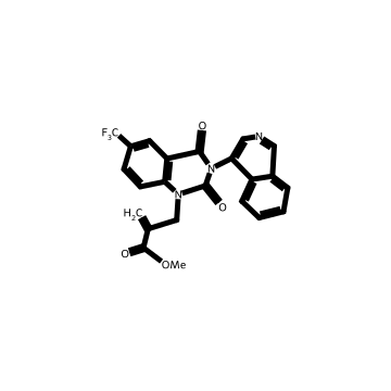 C=C(Cn1c(=O)n(-c2cncc3ccccc23)c(=O)c2cc(C(F)(F)F)ccc21)C(=O)OC